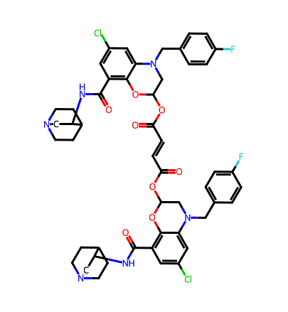 O=C(/C=C/C(=O)OC1CN(Cc2ccc(F)cc2)c2cc(Cl)cc(C(=O)NC3CN4CCC3CC4)c2O1)OC1CN(Cc2ccc(F)cc2)c2cc(Cl)cc(C(=O)NC3CN4CCC3CC4)c2O1